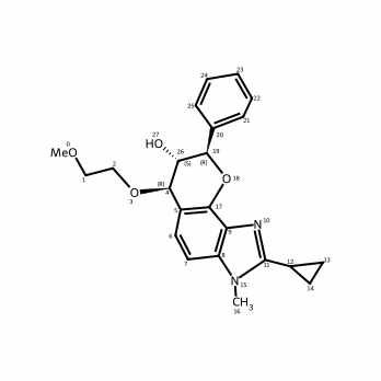 COCCO[C@@H]1c2ccc3c(nc(C4CC4)n3C)c2O[C@H](c2ccccc2)[C@H]1O